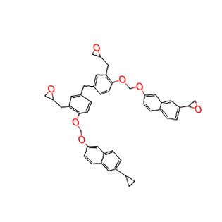 c1cc(OCOc2ccc3cc(C4CC4)ccc3c2)c(CC2CO2)cc1Cc1ccc(OCOc2ccc3ccc(C4CO4)cc3c2)c(CC2CO2)c1